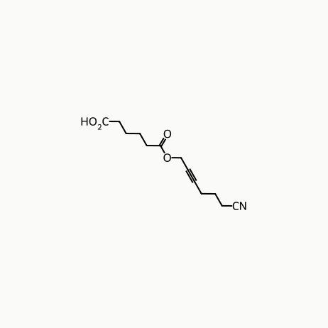 N#CCCCC#CCOC(=O)CCCCC(=O)O